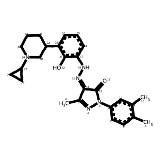 CC1=NN(c2ccc(C)c(C)c2)C(=O)C1=NNc1cccc(C2CCCN(C3CC3)C2)c1O